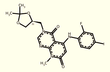 Cn1c(=O)cc(Nc2ccc(I)cc2F)c2c(=O)n(C[C@H]3COC(C)(C)O3)cnc21